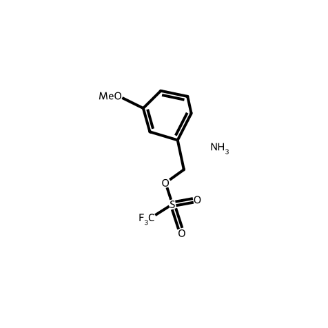 COc1cccc(COS(=O)(=O)C(F)(F)F)c1.N